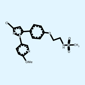 COc1ccc(-n2nc(Cl)cc2-c2ccc(OCCNS(C)(=O)=O)cc2)cn1